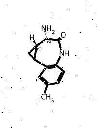 Cc1ccc2c(c1)C1C[C@@H]1[C@H](N)C(=O)N2